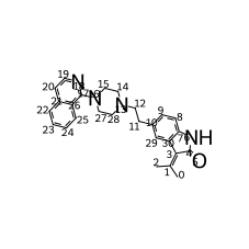 CC(C)=C1C(=O)Nc2ccc(CCN3CCN(c4nccc5ccccc45)CC3)cc21